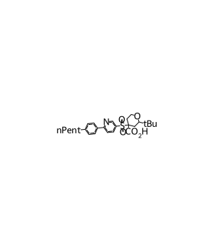 CCCCCc1ccc(-c2ccc(S(=O)(=O)C3(C(=O)O)CCOC(C(C)(C)C)C3)cn2)cc1